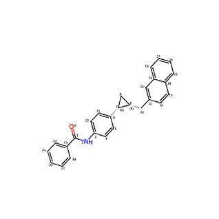 O=C(Nc1ccc([C@@H]2C[C@@H]2Cc2ccc3ccccc3c2)cc1)c1ccccc1